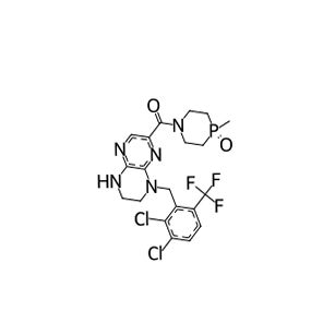 CP1(=O)CCN(C(=O)c2cnc3c(n2)N(Cc2c(C(F)(F)F)ccc(Cl)c2Cl)CCN3)CC1